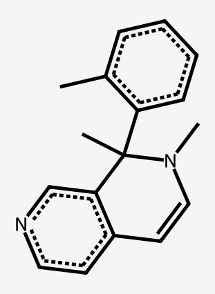 Cc1ccccc1C1(C)c2cnccc2C=CN1C